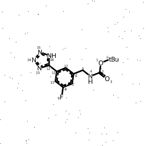 CC(C)(C)OC(=O)NCc1cc(F)cc(-c2nnn[nH]2)c1